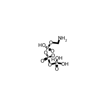 NCOP(=O)(O)OP(=O)(O)OP(=O)(O)O